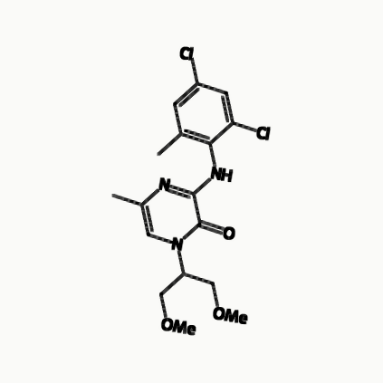 COCC(COC)n1cc(C)nc(Nc2c(C)cc(Cl)cc2Cl)c1=O